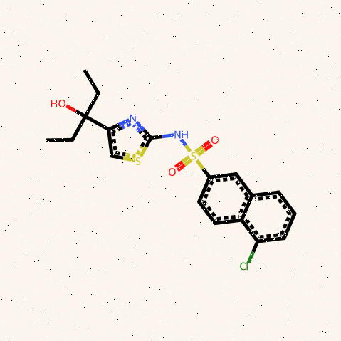 CCC(O)(CC)c1csc(NS(=O)(=O)c2ccc3c(Cl)cccc3c2)n1